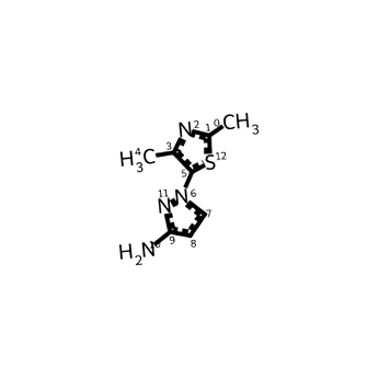 Cc1nc(C)c(-n2ccc(N)n2)s1